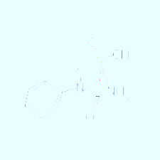 CS(=O)(=O)ON(C(N)=O)c1ccccc1